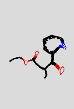 CCOC(=O)C(C)C(=O)c1ccccn1